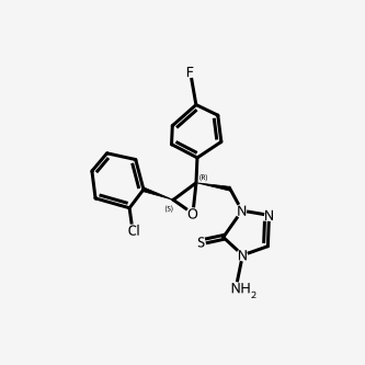 Nn1cnn(C[C@@]2(c3ccc(F)cc3)O[C@H]2c2ccccc2Cl)c1=S